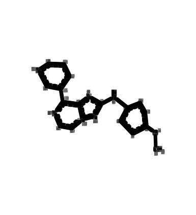 COc1ccc(Nc2nc3c(-c4cccnc4)nccn3n2)cc1